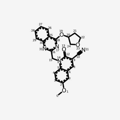 COc1ccc2c(c1)cc(C#N)c(=O)n2Cc1nc(OC2CCOC2)c2ccccc2n1